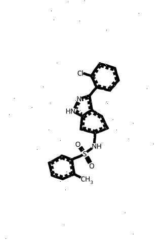 Cc1ccccc1S(=O)(=O)Nc1ccc2c(-c3ccccc3Cl)n[nH]c2c1